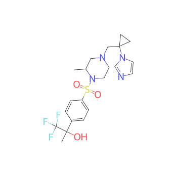 CC1CN(CC2(n3ccnc3)CC2)CCN1S(=O)(=O)c1ccc(C(C)(O)C(F)(F)F)cc1